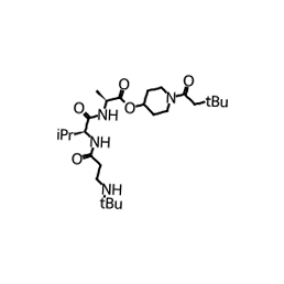 CC(C)[C@H](NC(=O)CCNC(C)(C)C)C(=O)N[C@@H](C)C(=O)OC1CCN(C(=O)CC(C)(C)C)CC1